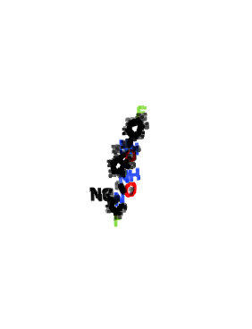 CC1(C)[C@@H](NCC(=O)N2C[C@@H](F)C[C@H]2C#N)CC[C@@]1(C)c1nc(-c2ccc(F)cc2)no1